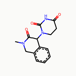 CN1Cc2ccccc2C(N2CCC(=O)NC2=O)C1=O